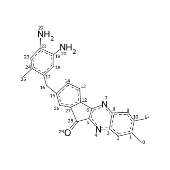 Cc1cc2nc3c(nc2cc1C)-c1ccc(Cc2cc(N)c(N)cc2C)cc1C3=O